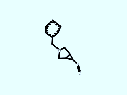 O=NC1C2CN(Cc3ccccc3)CC21